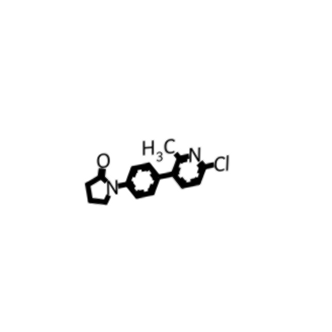 Cc1nc(Cl)ccc1-c1ccc(N2CCCC2=O)cc1